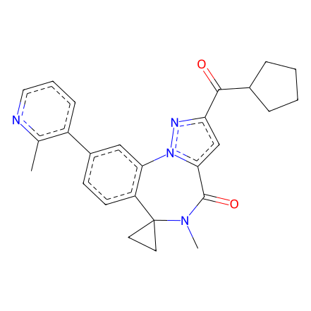 Cc1ncccc1-c1ccc2c(c1)-n1nc(C(=O)C3CCCC3)cc1C(=O)N(C)C21CC1